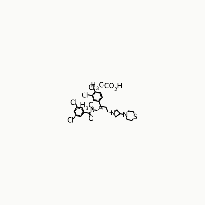 CC(=O)O.CN(C[C@@H](CCN1CC(N2CCSCC2)C1)c1ccc(Cl)c(Cl)c1)C(=O)c1cc(Cl)cc(Cl)c1